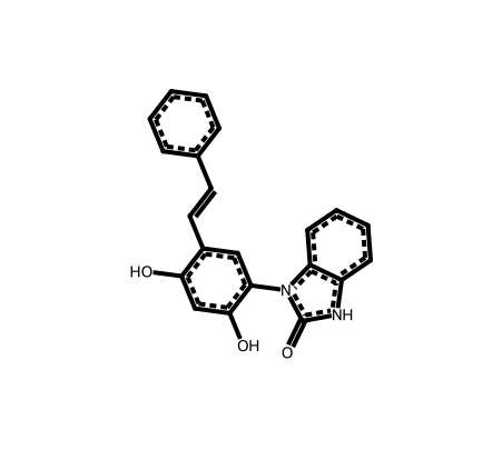 O=c1[nH]c2ccccc2n1-c1cc(C=Cc2ccccc2)c(O)cc1O